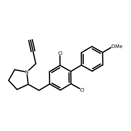 C#CCN1CCCC1Cc1cc(Cl)c(-c2ccc(OC)cc2)c(Cl)c1